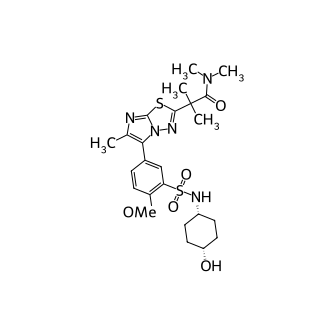 COc1ccc(-c2c(C)nc3sc(C(C)(C)C(=O)N(C)C)nn23)cc1S(=O)(=O)N[C@H]1CC[C@@H](O)CC1